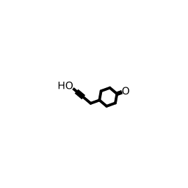 O=C1CCC(CC#CO)CC1